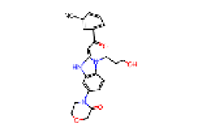 N#Cc1cccc(C(=O)C=C2Nc3cc(N4CCOCC4=O)ccc3N2CCCO)c1